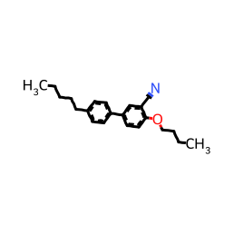 CCCCCc1ccc(-c2ccc(OCCCC)c(C#N)c2)cc1